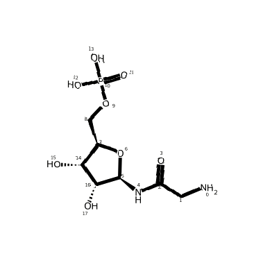 NCC(=O)N[C@@H]1O[C@H](COP(=O)(O)O)[C@@H](O)[C@H]1O